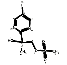 C[C@@](O)(COS(C)(=O)=O)c1ncc(F)cn1